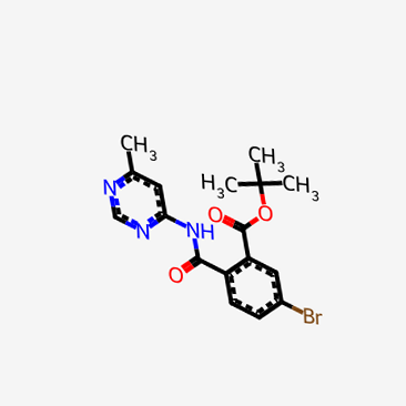 Cc1cc(NC(=O)c2ccc(Br)cc2C(=O)OC(C)(C)C)ncn1